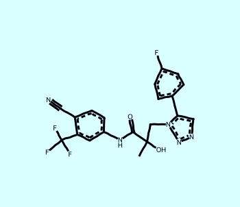 CC(O)(Cn1nncc1-c1ccc(F)cc1)C(=O)Nc1ccc(C#N)c(C(F)(F)F)c1